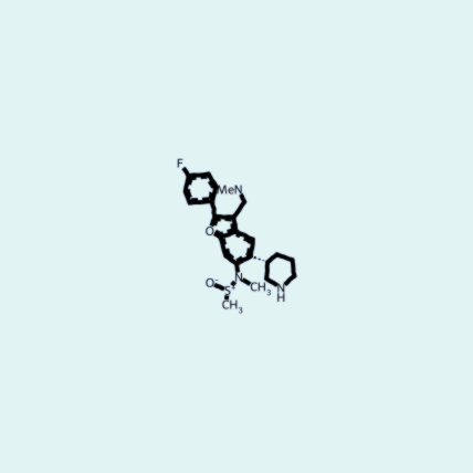 CNCc1c(-c2ccc(F)cc2)oc2cc(N(C)[S+](C)[O-])c([C@@H]3CCCNC3)cc12